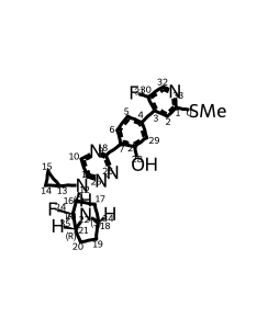 CSc1cc(-c2ccc(-c3ncc(N(C4CC4)[C@H]4C[C@@H]5CC[C@@H](N5)[C@H]4F)nn3)c(O)c2)c(F)cn1